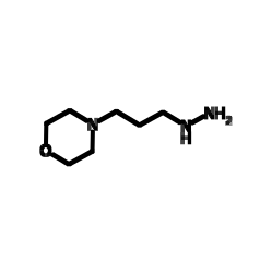 NNCCCN1CCOCC1